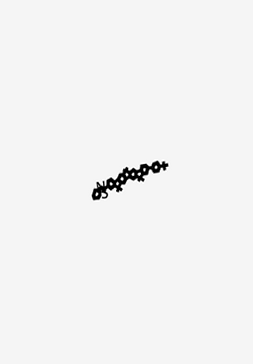 CC(C)(C)c1ccc(-c2ccc3c(c2)C(C)(C)c2cc4c(cc2-3)C(C)(C)c2cc3c(cc2-4)C(C)(C)c2cc(-c4nc5ccccc5s4)ccc2-3)cc1